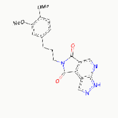 COc1ccc(CCCN2C(=O)c3cnc4[nH]ncc4c3C2=O)cc1OC